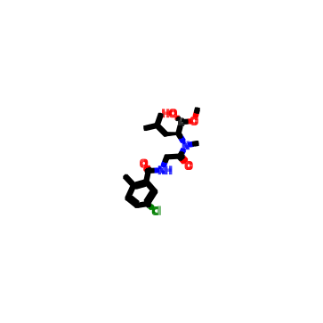 COB(O)[C@H](CC(C)C)N(C)C(=O)CNC(=O)c1cc(Cl)ccc1C